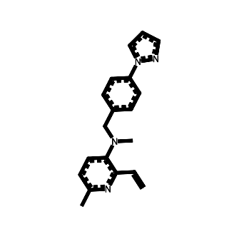 C=Cc1nc(C)ccc1N(C)Cc1ccc(-n2cccn2)cc1